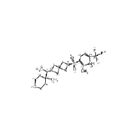 CC1=C(S(=O)(=O)N2CC3(CN(C(C)C4(C)CCOCC4)C3)C2)CC=C(C(F)(F)F)N1